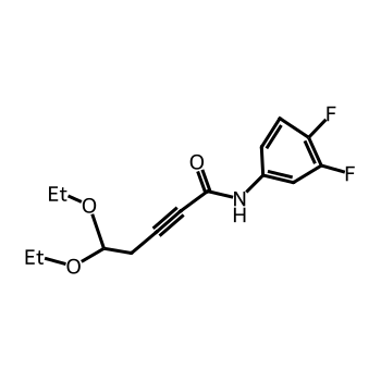 CCOC(CC#CC(=O)Nc1ccc(F)c(F)c1)OCC